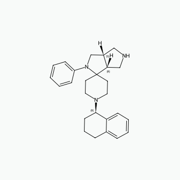 c1ccc(N2C[C@@H]3CNC[C@@H]3C23CCN([C@@H]2CCCc4ccccc42)CC3)cc1